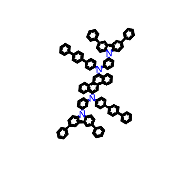 c1ccc(-c2ccc(-c3ccc(N(c4cccc(-n5c6ccc(-c7ccccc7)cc6c6cc(-c7ccccc7)ccc65)c4)c4cc5c6ccccc6c(N(c6ccc(-c7ccc(-c8ccccc8)cc7)cc6)c6cccc(-n7c8ccc(-c9ccccc9)cc8c8cc(-c9ccccc9)ccc87)c6)cc5c5ccccc45)cc3)cc2)cc1